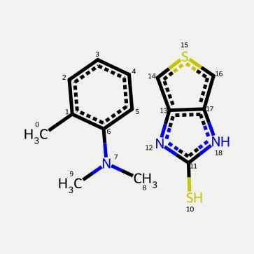 Cc1ccccc1N(C)C.Sc1nc2cscc2[nH]1